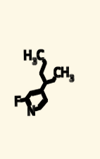 CCCC(CC)c1ccnc(F)c1